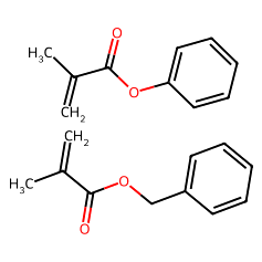 C=C(C)C(=O)OCc1ccccc1.C=C(C)C(=O)Oc1ccccc1